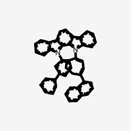 C1=C(c2cccc3ccccc23)CCCC(n2c3ccccc3c3ccc4c5ccccc5n(-c5cccc(-c6ccccc6)c5)c4c32)=C1